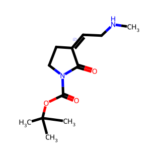 CNC/C=C1/CCN(C(=O)OC(C)(C)C)C1=O